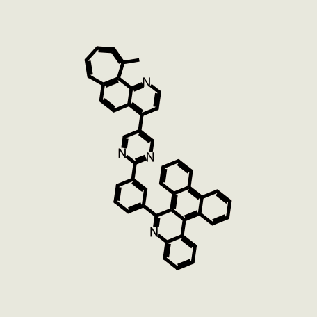 CC1=C=CC=Cc2ccc3c(-c4cnc(-c5cccc(-c6nc7ccccc7c7c8ccccc8c8ccccc8c67)c5)nc4)ccnc3c21